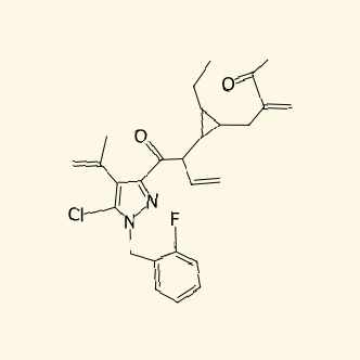 C=CC(C(=O)c1nn(Cc2ccccc2F)c(Cl)c1C(=C)C)C1C(CC)C1CC(=C)C(C)=O